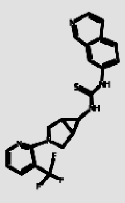 FC(F)(F)c1cccnc1N1CC2C(C1)C2NC(=S)Nc1ccc2ccncc2c1